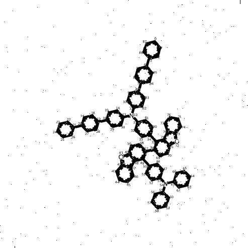 c1ccc(-c2ccc(-c3ccc(N(c4ccc(-c5ccc(-c6ccccc6)cc5)cc4)c4ccc(-c5c(-c6ccc7oc8ccccc8c7c6-c6ccc(N(c7ccccc7)c7ccccc7)cc6)ccc6oc7ccccc7c56)cc4)cc3)cc2)cc1